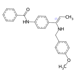 C/C=C(\NCc1ccc(OC)cc1)c1ccc(NC(=O)c2ccccc2)cc1